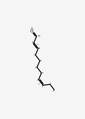 CC/C=C\CCCC/C=C/C=O